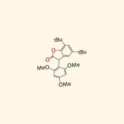 COc1cc(OC)c(C2C(=O)Oc3c2cc(C(C)(C)C)cc3C(C)(C)C)c(OC)c1